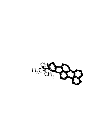 C[Si](C)(C)c1ccc2c(c1)-c1ccc3c4cccc5cccc(c6ccc-2c1c63)c54